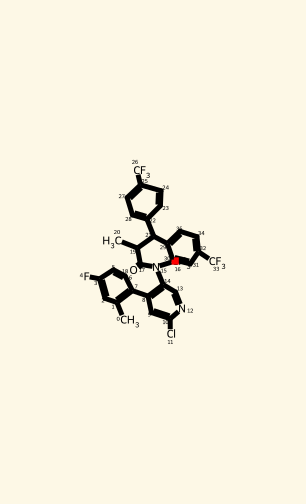 Cc1cc(F)ccc1-c1cc(Cl)ncc1N(C)C(=O)C(C)C(c1ccc(C(F)(F)F)cc1)c1ccc(C(F)(F)F)cc1